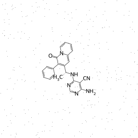 C[C@@H](Nc1ncnc(N)c1C#N)c1cc2ccccn2c(=O)c1-c1ccccc1